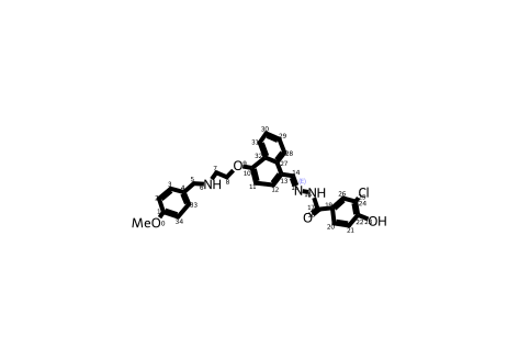 COc1ccc(CNCCOc2ccc(/C=N/NC(=O)c3ccc(O)c(Cl)c3)c3ccccc23)cc1